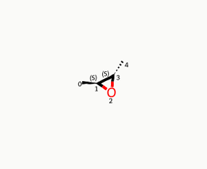 C[C@@H]1O[C@H]1C